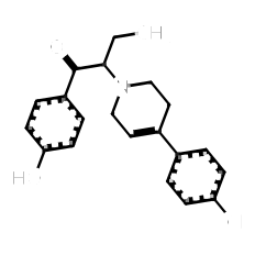 CCC(C(=O)c1ccc(O)cc1)N1CC=C(c2ccc(Cl)cc2)CC1